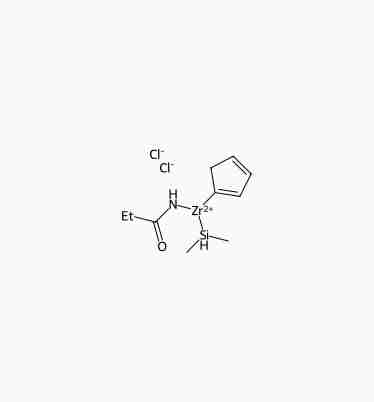 CCC(=O)[NH][Zr+2]([C]1=CC=CC1)[SiH](C)C.[Cl-].[Cl-]